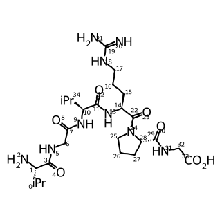 CC(C)[C@H](N)C(=O)NCC(=O)N[C@H](C(=O)N[C@@H](CCCNC(=N)N)C(=O)N1CCC[C@H]1C(=O)NCC(=O)O)C(C)C